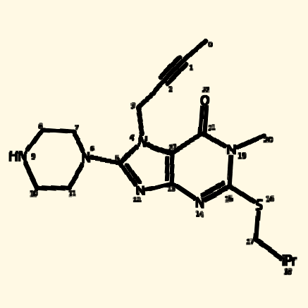 CC#CCn1c(N2CCNCC2)nc2nc(SCC(C)C)n(C)c(=O)c21